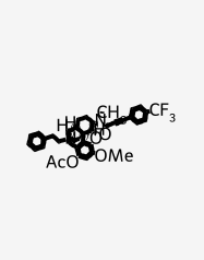 COc1cc(OC(C)=O)c2c3c1O[C@H]1[C@@H](N(C)C(=O)C#Cc4ccc(C(F)(F)F)cc4)CC[C@H]4[C@@H](C2)N(CCc2ccccc2)CC[C@@]341